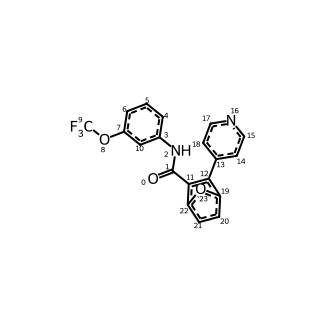 O=C(Nc1cccc(OC(F)(F)F)c1)c1c(-c2ccncc2)c2ccc1o2